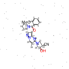 COc1ccccc1C(=O)N1CCCC[C@H]1c1cc2nc(N3C[C@@H](C#N)[C@@H](O)C3)c(C)cn2n1